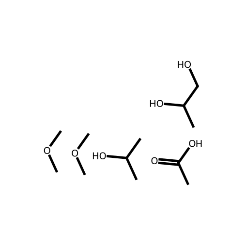 CC(=O)O.CC(C)O.CC(O)CO.COC.COC